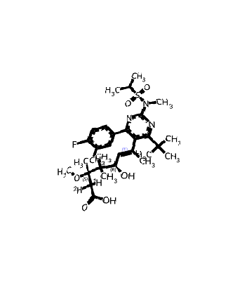 [2H]C([2H])(C(=O)O)[C@](C)(OC)C(C)(C)[C@H](O)/C=C(\C)c1c(-c2ccc(F)c(C)c2)nc(N(C)S(=O)(=O)C(C)C)nc1C(C)(C)C